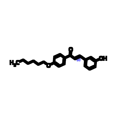 CCCCCCOc1ccc(C(=O)/C=C/c2cccc(O)c2)cc1